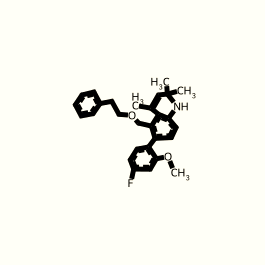 COc1cc(F)ccc1-c1ccc2c(c1COCCc1ccccc1)C(C)=CC(C)(C)N2